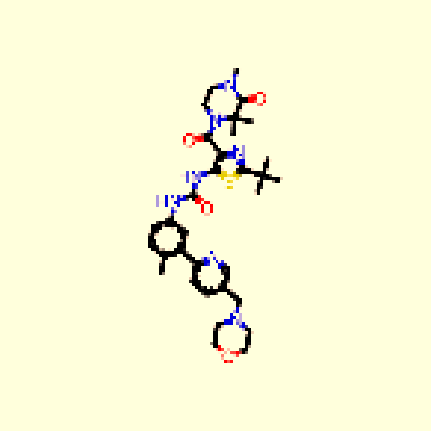 Cc1ccc(NC(=O)Nc2sc(C(C)(C)C)nc2C(=O)N2CCN(C)C(=O)C2(C)C)cc1-c1ccc(CN2CCOCC2)cn1